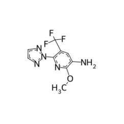 COc1nc(-n2nccn2)c(C(F)(F)F)cc1N